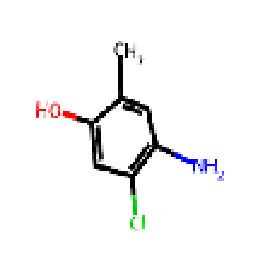 Cc1cc(N)c(Cl)cc1O